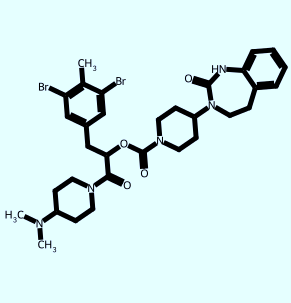 Cc1c(Br)cc(CC(OC(=O)N2CCC(N3CCc4ccccc4NC3=O)CC2)C(=O)N2CCC(N(C)C)CC2)cc1Br